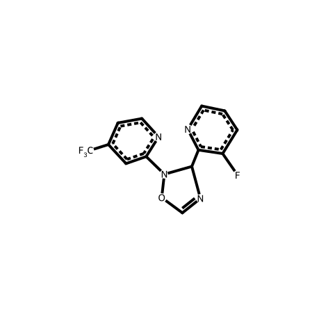 Fc1cccnc1C1N=CON1c1cc(C(F)(F)F)ccn1